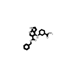 NC(=O)C1CCCC(Nc2c(C(=O)OCc3ccccc3)cnc3[nH]ccc23)C1